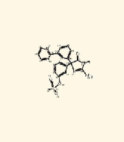 CN1C(=O)C(c2cccc(OS(C)(=O)=O)c2)(c2cccc(-c3ncccn3)c2)N=C1N